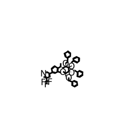 Cc1cc(-c2cncc(C(F)(F)F)c2)ccc1C(C)[C@H]1O[C@H](COCc2ccccc2)[C@@H](OCc2ccccc2)[C@H](OCc2ccccc2)[C@@H]1OCc1ccccc1